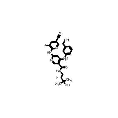 CC(C)(O)[C@H](F)CNC(=O)c1cnc(Nc2ncc(C#N)cc2F)cc1Nc1cccc(CO)c1